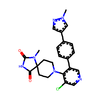 CN1C(=O)NC(=O)C12CCN(c1c(Cl)cncc1-c1ccc(-c3cnn(C)c3)cc1)CC2